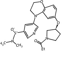 CCC(=O)N1CC[C@H](Oc2ccc3c(c2)N(c2cncc([S+]([O-])N(C)C)c2)CCO3)C1